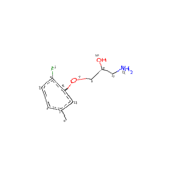 Cc1ccc(F)c(OCC(O)CN)c1